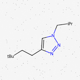 CC(C)Cn1cc(CCC(C)(C)C)nn1